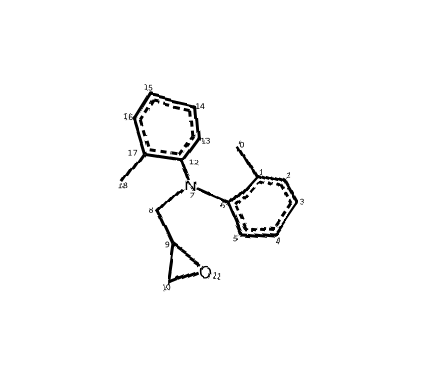 Cc1ccccc1N(CC1CO1)c1ccccc1C